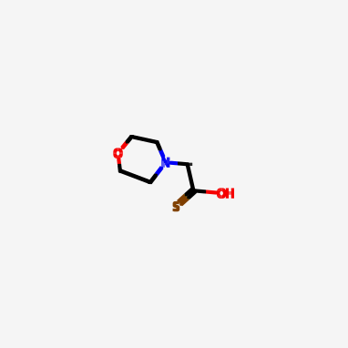 OC(=S)[CH]N1CCOCC1